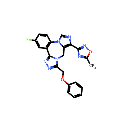 Fc1ccc2c(c1)-c1nnc(COc3ccccc3)n1Cc1c(-c3noc(C(F)(F)F)n3)ncn1-2